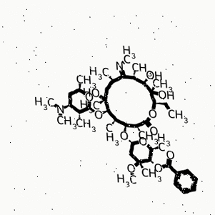 CC[C@H]1OC(=O)[C@H](C)[C@@H](O[C@H]2C[C@@](C)(OC)[C@@H](OC(=O)c3ccccc3)[C@H](C)O2)[C@H](C)[C@@H](O[C@@H]2O[C@H](C)C[C@H](N(C)C)[C@H]2C)[C@](C)(O)C[C@@H](C)/C(=N/C)[C@H](C)[C@@H](O)[C@]1(C)O